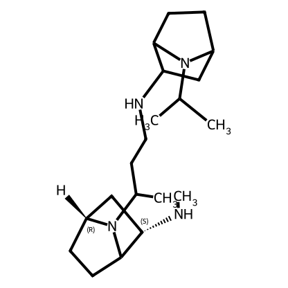 CN[C@H]1C[C@H]2CCC1N2C(C)CCNC1CC2CCC1N2C(C)C